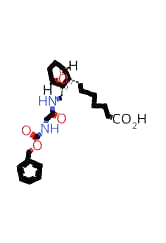 O=C(O)CCCCCC[C@@H]1[C@H](CNC(=O)CNC(=O)OCc2ccccc2)[C@@H]2CC[C@@H]1O2